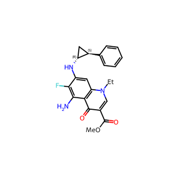 CCn1cc(C(=O)OC)c(=O)c2c(N)c(F)c(N[C@@H]3C[C@H]3c3ccccc3)cc21